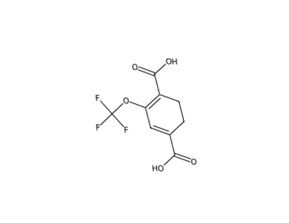 O=C(O)C1=CC(OC(F)(F)F)=C(C(=O)O)CC1